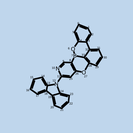 c1ccc2c(c1)OB1c3cnc(-n4c5ccccc5c5ccccc54)cc3Oc3cccc-2c31